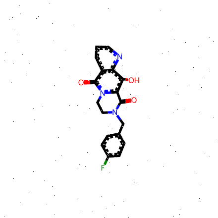 O=C1c2c(O)c3ncccc3c(=O)n2CCN1Cc1ccc(F)cc1